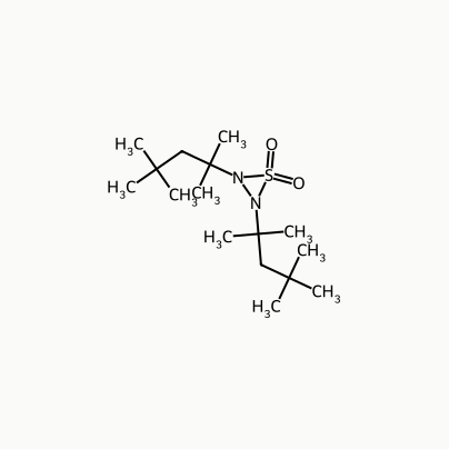 CC(C)(C)CC(C)(C)N1N(C(C)(C)CC(C)(C)C)S1(=O)=O